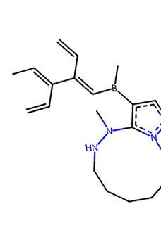 C=CC(=C\C)/C(C=C)=C/B(C)c1cnn2c1N(C)NCCCC/C=C\2